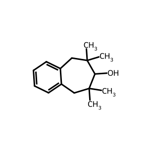 CC1(C)Cc2ccccc2CC(C)(C)C1O